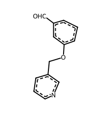 O=Cc1cccc(OCc2cccnc2)c1